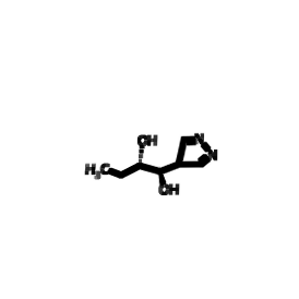 CC[C@H](O)[C@H](O)C1C=NN=C1